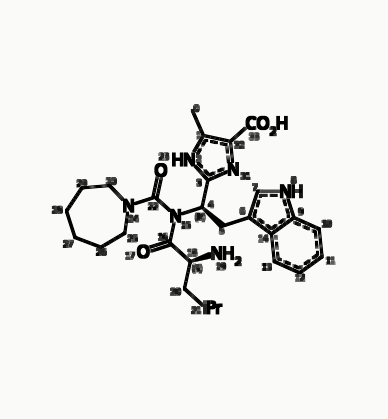 Cc1[nH]c([C@@H](Cc2c[nH]c3ccccc23)N(C(=O)[C@@H](N)CC(C)C)C(=O)N2CCCCCC2)nc1C(=O)O